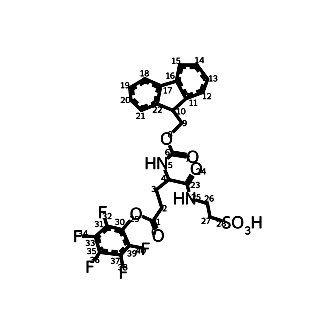 O=C(CCC(NC(=O)OCC1c2ccccc2-c2ccccc21)C(=O)NCCS(=O)(=O)O)Oc1c(F)c(F)c(F)c(F)c1F